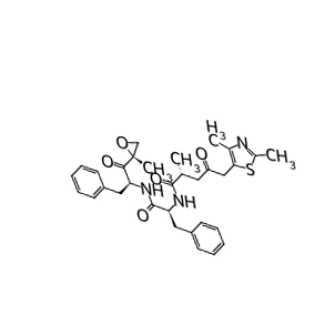 Cc1nc(C)c(CC(=O)C[C@@H](C)C(=O)N[C@@H](Cc2ccccc2)C(=O)N[C@@H](Cc2ccccc2)C(=O)[C@@]2(C)CO2)s1